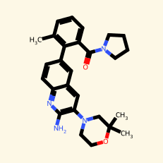 Cc1cccc(C(=O)N2CCCC2)c1-c1ccc2nc(N)c(N3CCOC(C)(C)C3)cc2c1